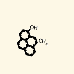 C.Oc1ccc2ccc3cccc4ccc1c2c34